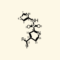 O=S(=O)(Nc1cscn1)c1cc(C(F)F)ccn1